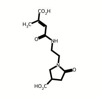 C/C(=C\C(=O)NCCN1CC(C(=O)O)CC1=O)C(=O)O